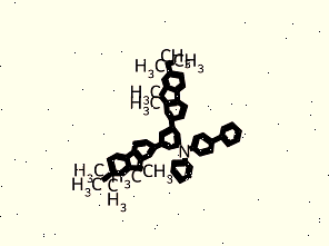 CC(C)(C)c1ccc2c(c1)C(C)(C)c1cc(-c3cc(-c4ccc5c(c4)C(C)(C)c4cc(C(C)(C)C)ccc4-5)cc(N(c4ccccc4)c4ccc(-c5ccccc5)cc4)c3)ccc1-2